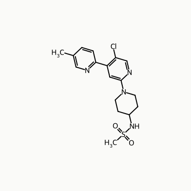 Cc1ccc(-c2cc(N3CCC(NS(C)(=O)=O)CC3)ncc2Cl)nc1